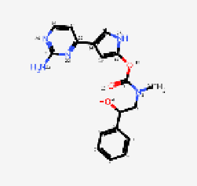 CN(CC(O)c1ccccc1)C(=O)Oc1cc(-c2ccnc(N)n2)c[nH]1